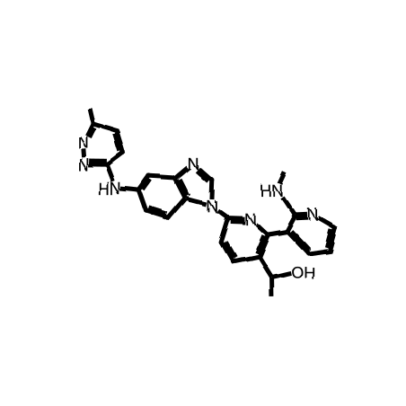 CNc1ncccc1-c1nc(-n2cnc3cc(Nc4ccc(C)nn4)ccc32)ccc1C(C)O